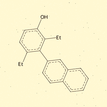 CCc1c[c]c(O)c(CC)c1-c1ccc2ccccc2c1